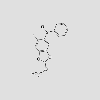 Cc1cc2c(cc1[S+]([O-])c1ccccc1)OC(OC(=O)O)O2